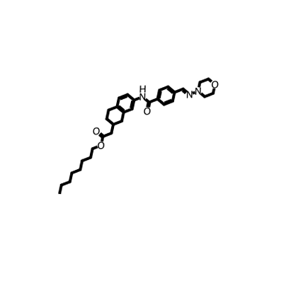 CCCCCCCCOC(=O)CC1CCc2ccc(NC(=O)c3ccc(C=NN4CCOCC4)cc3)cc2C1